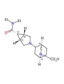 CCN(CC)C(=O)[C@@H]1[C@@H]2CN(C3C[C@@H]4CC[C@H]3CN4C(=O)O)C[C@@H]21